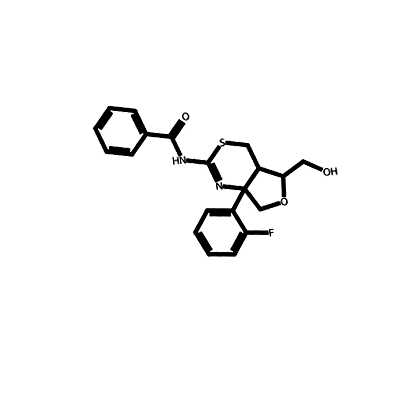 O=C(NC1=NC2(c3ccccc3F)COC(CO)C2CS1)c1ccccc1